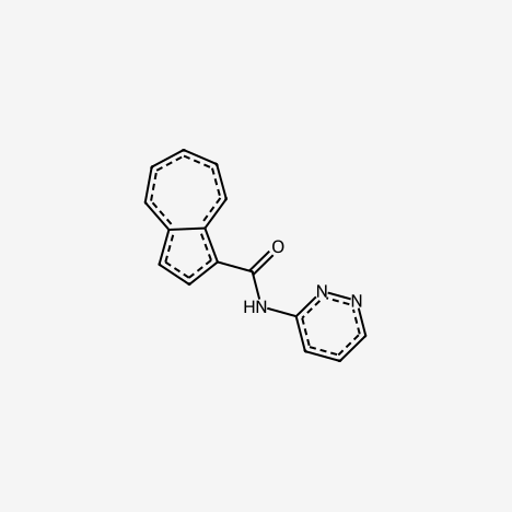 O=C(Nc1cccnn1)c1ccc2cccccc1-2